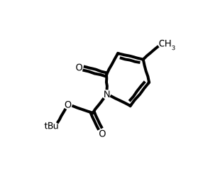 Cc1ccn(C(=O)OC(C)(C)C)c(=O)c1